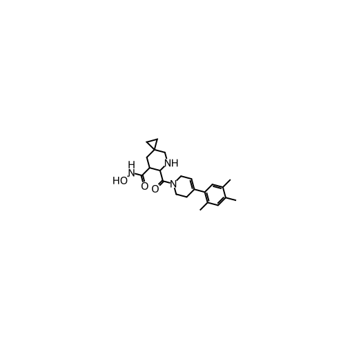 Cc1cc(C)c(C2=CCN(C(=O)C3NCC4(CC4)CC3C(=O)NO)CC2)cc1C